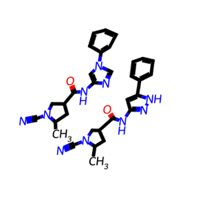 CC1CC(C(=O)Nc2cc(-c3ccccc3)[nH]n2)CN1C#N.CC1CC(C(=O)Nc2cn(-c3ccccc3)cn2)CN1C#N